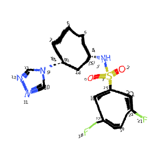 O=S(=O)(N[C@H]1CCC[C@@H](n2cnnc2)C1)c1cc(F)cc(F)c1